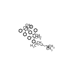 C=C/C(=C(\C(=C(/C)c1ccccc1)c1ccccc1)c1ccc(C(=C(/C)c2ccccc2)/C(=C(\C)c2cccc(C(C)(C)CCCCCCN(C)C)c2)c2ccccc2)cc1)c1ccccc1